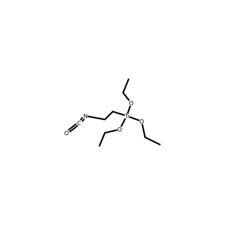 CC[O][Ti]([CH2]CN=C=O)([O]CC)[O]CC